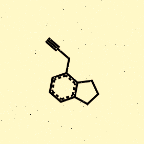 C#CCc1cccc2c1CC[CH]2